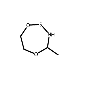 CC1NSOCCO1